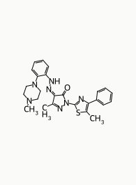 CC1=NN(c2nc(-c3ccccc3)c(C)s2)C(=O)C1=NNc1ccccc1N1CCN(C)CC1